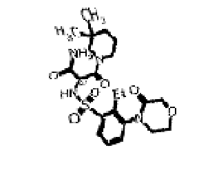 CCc1c(N2CCOCC2=O)cccc1S(=O)(=O)N[C@@H](C(N)=O)C(=O)N1CCCC(C)(C)C1